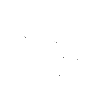 CN(C)CCCNc1nc(CN(C)C(=O)Cc2ccsc2)nc2ccccc12